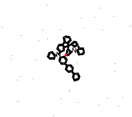 c1ccc(-c2ccc(-c3ccc(N(c4ccccc4)c4ccc5c(c4)C4(c6ccccc6-5)c5ccccc5-n5c6ccccc6c6cccc4c65)cc3)cc2)cc1